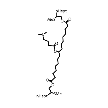 CCCCCCCC(COC(=O)CCCCCCCC(CCCCCCCC(=O)OCC(CCCCCCC)SC)OC(=O)CCCN(C)C)SC